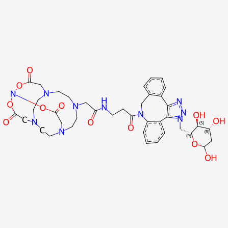 O=C(CN1CCN2CCN3CCN(CC1)CC(=O)ON(OC(=O)C2)OC(=O)C3)NCCC(=O)N1Cc2ccccc2-c2nnn(C[C@H]3OC(O)C[C@@H](O)[C@@H]3O)c2-c2ccccc21